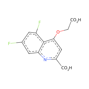 O=C(O)COc1cc(C(=O)O)nc2cc(F)cc(F)c12